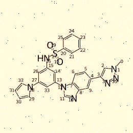 Cn1cc(-c2ccc3c(c2)ncn3-c2cc(NS(=O)(=O)c3ccccc3)cc(-n3cccc3)c2)nn1